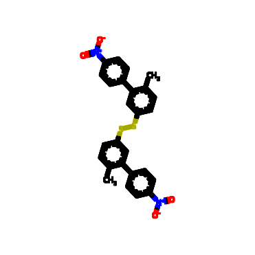 Cc1ccc(SSc2ccc(C)c(-c3ccc([N+](=O)[O-])cc3)c2)cc1-c1ccc([N+](=O)[O-])cc1